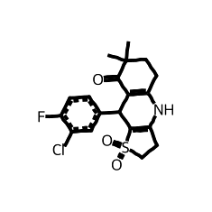 CC1(C)CCC2=C(C1=O)C(c1ccc(F)c(Cl)c1)C1=C(CCS1(=O)=O)N2